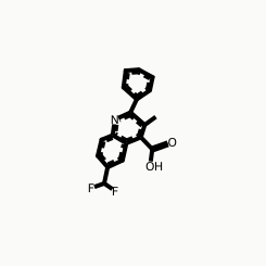 Cc1c(-c2ccccc2)nc2ccc(C(F)F)cc2c1C(=O)O